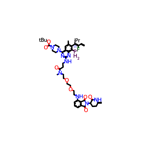 C=C/C(F)=C(/c1c(C)cc2c(N3CCN(C(=O)OC(C)(C)C)CC3)nc(NCCC(=O)N(C)CCOCCOCCNc3cccc4c3C(=O)N(C3CCC(=C)NC3=O)C4=O)nc2c1P)C(C)C